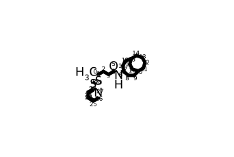 CC(CCC(=O)NC1CCC2CCCCC(CC2)CC1)SSc1ccccn1